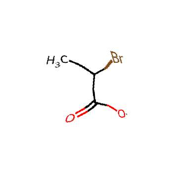 CC(Br)C([O])=O